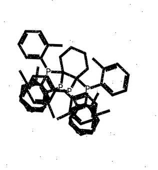 Cc1ccccc1P(c1ccccc1C)C1(P(c2ccccc2C)c2ccccc2C)CCCCC1(P(c1ccccc1C)c1ccccc1C)P(c1ccccc1C)c1ccccc1C